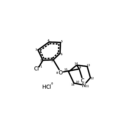 Cl.Clc1ccccc1OC1CN2CCC1CC2